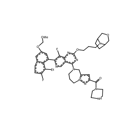 CCc1c(F)ccc2cc(OCOC)cc(-c3ncc4c(N5CCCn6nc(C(=O)N7CCNCC7)cc6C5)nc(OCCCN5C6CCC5COC6)nc4c3F)c12